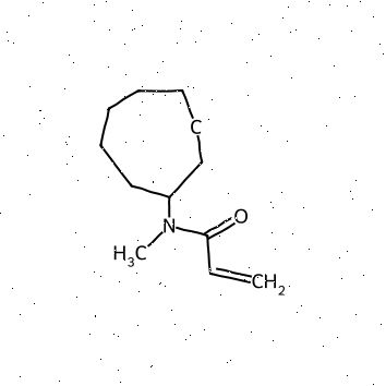 C=CC(=O)N(C)C1CCCCCCC1